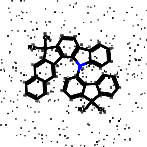 CC1(C)c2ccccc2-c2c(-n3c4ccccc4c4ccc5c(c43)-c3cc4ccccc4cc3C5(C)C)cccc21